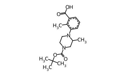 Cc1c(C(=O)O)cccc1N1CCN(C(=O)OC(C)(C)C)CC1C